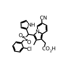 Cc1c(CC(=O)O)c2ccc(C#N)cn2c1C(c1ccc[nH]1)S(=O)(=O)c1ccccc1Cl